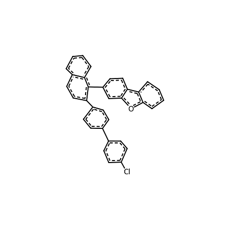 Clc1ccc(-c2ccc(-c3ccc4ccccc4c3-c3ccc4c(c3)oc3ccccc34)cc2)cc1